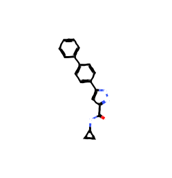 O=C(NC1CC1)c1cc(-c2ccc(-c3ccccc3)cc2)[nH]n1